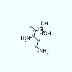 CC(C(N)CCN)[SiH](O)O